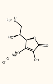 O=C1O[C@H]([C@@H](O)CO)C(O)=C1O.[Cl-].[Cl-].[Cu+].[Na+]